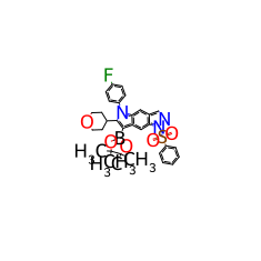 CC1(C)OB(c2c(C3CCOCC3)n(-c3ccc(F)cc3)c3cc4cnn(S(=O)(=O)c5ccccc5)c4cc23)OC1(C)C